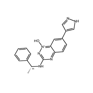 C[C@@H](Nc1nc2ccc(-c3cn[nH]c3)cc2[n+](O)n1)c1ccccc1